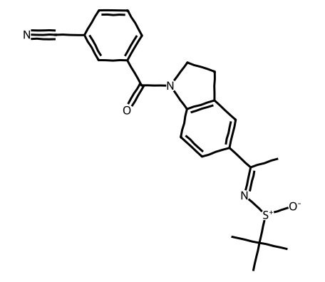 C/C(=N\[S+]([O-])C(C)(C)C)c1ccc2c(c1)CCN2C(=O)c1cccc(C#N)c1